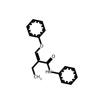 CCC(=COc1ccccc1)C(=O)Nc1ccccc1